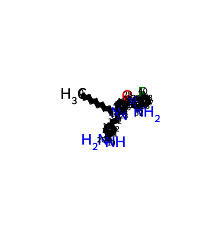 CCCCCCCCCCn1c(CCc2ccc(C(=N)N)cc2)nc2cc(C(=O)N(CCN)Cc3ccccc3F)ccc21